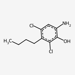 CCCCc1c(Cl)cc(N)c(O)c1Cl